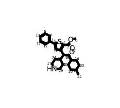 COC(=O)c1sc(-c2ccccc2)cc1C(C(=O)C1CCC(C)CC1)C1CCNCC1